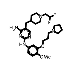 COc1ccc(Nc2ncc(CC3CCN(CC(F)F)CC3)c(N)n2)cc1OCCCN1CCCC1